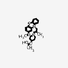 COc1ccc2c(c1)N(CC(C)CN1CCC(OC(C)O)CC1)c1ccccc1S2